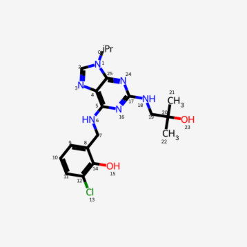 CC(C)n1cnc2c(NCc3cccc(Cl)c3O)nc(NCC(C)(C)O)nc21